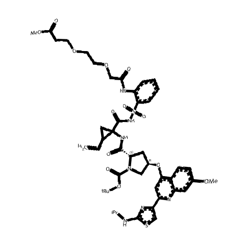 C=CC1CC1(NC(=O)[C@@H]1C[C@@H](Oc2cc(-c3csc(NC(C)C)n3)nc3cc(OC)ccc23)CN1C(=O)OC(C)(C)C)C(=O)NS(=O)(=O)c1ccccc1NC(=O)COCCOCCC(=O)OC